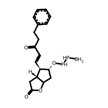 BPPO[C@@H]1CC2OC(=O)C[C@@H]2[C@H]1/C=C/C(=O)CCc1ccccc1